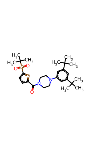 CC(C)(C)c1cc(N2CCN(C(=O)c3ccc(S(=O)(=O)C(C)(C)C)s3)CC2)cc(C(C)(C)C)c1